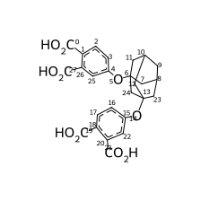 O=C(O)c1ccc(OC23CC4CC(C2)CC(Oc2ccc(C(=O)O)c(C(=O)O)c2)(C4)C3)cc1C(=O)O